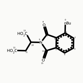 CCCCc1cccc2c1C(=O)N(C(CC(=O)O)C(=O)O)C2=O